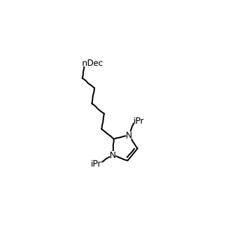 CCCCCCCCCCCCCCCC1N(C(C)C)C=CN1C(C)C